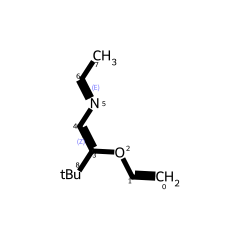 C=CO/C(=C\N=C\C)C(C)(C)C